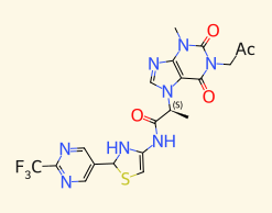 CC(=O)Cn1c(=O)c2c(ncn2[C@@H](C)C(=O)NC2=CSC(c3cnc(C(F)(F)F)nc3)N2)n(C)c1=O